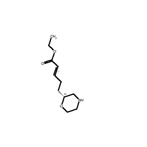 CCOC(=O)/C=C/CC[C@@H]1CNCCO1